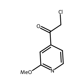 COc1cc(C(=O)CCl)ccn1